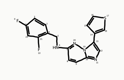 Fc1ccc(CNc2ccc3ncc(-c4ccsc4)n3n2)c(F)c1